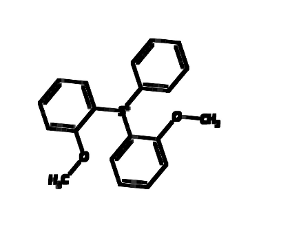 COc1ccccc1[S+](c1ccccc1)c1ccccc1OC